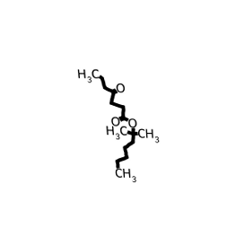 CCCCCC(C)(C)OC(=O)CCC(=O)CCC